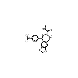 CNC(=O)N1N=C(c2ccc([N+](=O)[O-])cc2)c2cc3c(cc2C[C@H]1C)OCO3